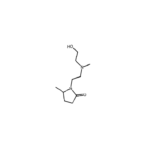 CC1CCC(=O)N1CCN(C)CCO